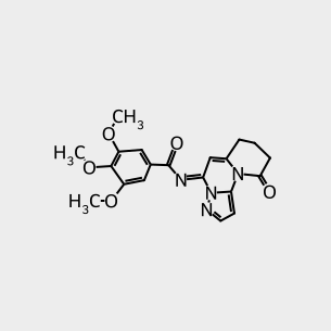 COc1cc(C(=O)N=c2cc3n(c4ccnn24)C(=O)CCC3)cc(OC)c1OC